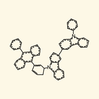 C1=CC(c2c3ccccc3c(-c3ccccc3)c3ccccc23)=CC(n2c3ccccc3c3cc(-c4ccc5c(c4)c4ccccc4n5-c4ccccc4)ccc32)C1